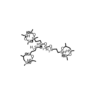 CC1C[SiH](C)O[SiH](C)O[SiH](CC[SiH2]O[SiH2]O[SiH](CC[Si]2(C)O[SiH](C)O[SiH](C)O[SiH](C)O2)O[SiH2]CC[SiH]2OC(C)C[SiH](C)O[SiH](C)O2)O1